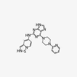 C1=CN2SNC=C2C=C1Nc1nc(N2CCN(c3ccccn3)CC2)c2nc[nH]c2n1